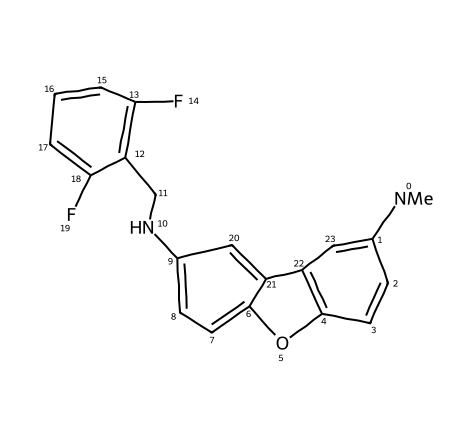 CNc1ccc2oc3ccc(NCc4c(F)cccc4F)cc3c2c1